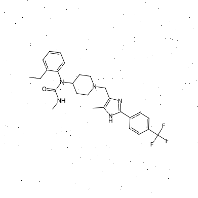 CCc1ccccc1N(C(=O)NC)C1CCN(Cc2nc(-c3ccc(C(F)(F)F)cc3)[nH]c2C)CC1